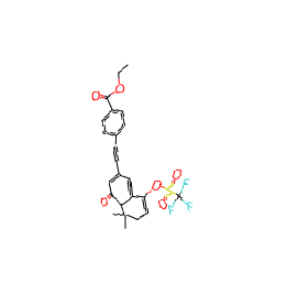 CCOC(=O)c1ccc(C#CC2=CC(=O)C3C(=C2)C(OS(=O)(=O)C(F)(F)F)=CCC3(C)C)cc1